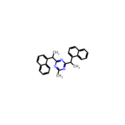 Cc1nc(C(C)c2cccc3ccccc23)nc(C(C)c2cccc3ccccc23)n1